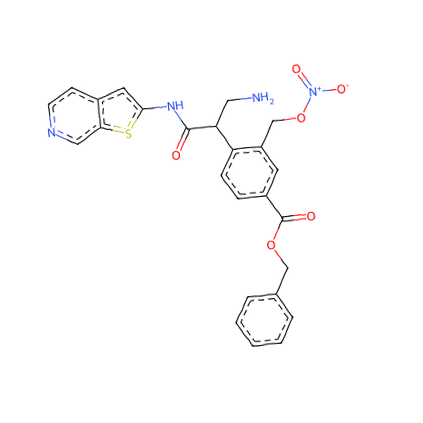 NCC(C(=O)Nc1cc2ccncc2s1)c1ccc(C(=O)OCc2ccccc2)cc1CO[N+](=O)[O-]